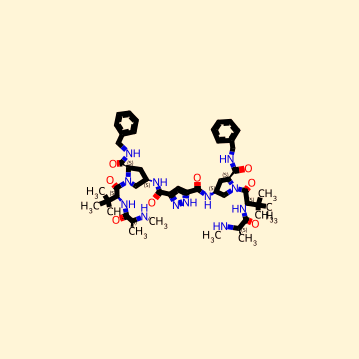 CN[C@@H](C)C(=O)N[C@H](C(=O)N1C[C@@H](NC(=O)c2cc(C(=O)N[C@H]3C[C@@H](C(=O)NCc4ccccc4)N(C(=O)[C@@H](NC(=O)[C@H](C)NC)C(C)(C)C)C3)[nH]n2)C[C@H]1C(=O)NCc1ccccc1)C(C)(C)C